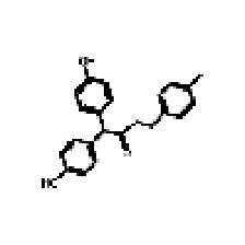 Cc1ccc(COC(=O)C(c2ccc(O)cc2)c2ccc(O)cc2)cc1